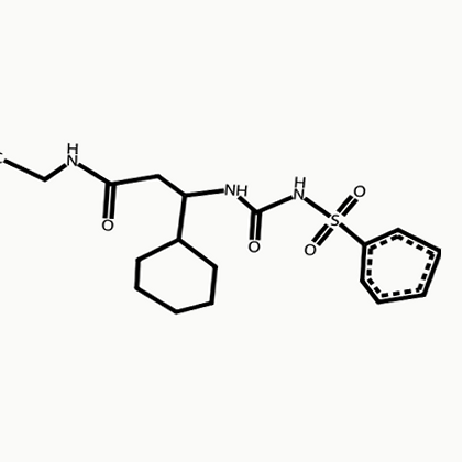 N#CCNC(=O)CC(NC(=O)NS(=O)(=O)c1ccccc1)C1CCCCC1